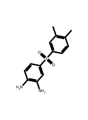 Cc1ccc(S(=O)(=O)c2ccc(N)c(N)c2)cc1C